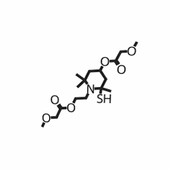 COCC(=O)OCCN1C(C)(C)CC(OC(=O)COC)CC1(C)S